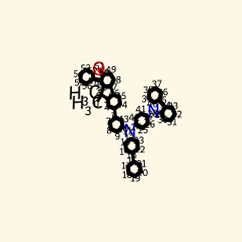 CC1(C)c2cc(-c3cccc(N(c4ccc(-c5ccccc5)cc4)c4ccc(-n5c6ccccc6c6ccccc65)cc4)c3)ccc2-c2ccc3oc4ccccc4c3c21